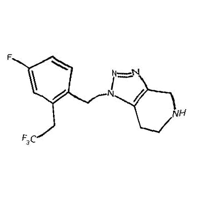 Fc1ccc(Cn2nnc3c2CCNC3)c(CC(F)(F)F)c1